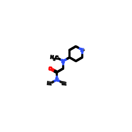 CCN(CC)C(=O)CN(C)C1CC[N]CC1